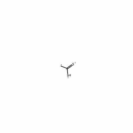 CC(=S)S